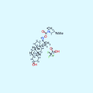 CNCCN(C)C(=O)O/N=C(\C)[C@H]1CC[C@H]2[C@@H]3CCC4C[C@H](O)CC[C@]4(C)[C@H]3CC[C@]12C.O=C(O)C(F)(F)F